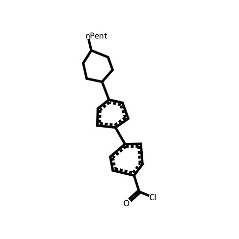 CCCCCC1CCC(c2ccc(-c3ccc(C(=O)Cl)cc3)cc2)CC1